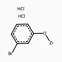 Brc1cccc([O][Zr])c1.Cl.Cl